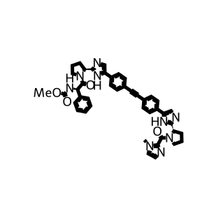 COC(=O)N[C@@H](C(=O)N1CCC[C@H]1c1ncc(-c2ccc(C#Cc3ccc(-c4cnc([C@@H]5CCCN5C(=O)c5nccn5C)[nH]4)cc3)cc2)[nH]1)c1ccccc1